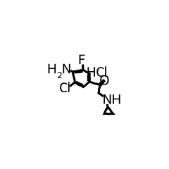 Cl.Nc1c(F)cc(C(=O)CNC2CC2)cc1Cl